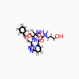 CN(CCCO)C(=O)OCc1cccc2nnc([C@@H](COCc3ccccc3)NC(=O)C(C)(C)N)n12